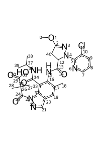 COC1=NN(c2ncccc2Cl)C(C(=O)Nc2c(C)cc3cnn(C(=O)C(C)(C)C(=O)O)c3c2C(=O)NC(C)C)C1